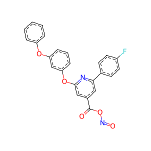 O=NOC(=O)c1cc(Oc2cccc(Oc3ccccc3)c2)nc(-c2ccc(F)cc2)c1